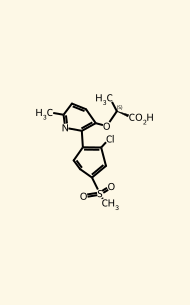 Cc1ccc(O[C@@H](C)C(=O)O)c(-c2ccc(S(C)(=O)=O)cc2Cl)n1